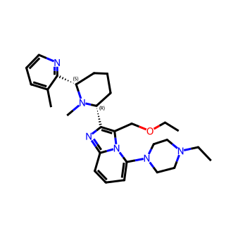 CCOCc1c([C@H]2CCC[C@@H](c3ncccc3C)N2C)nc2cccc(N3CCN(CC)CC3)n12